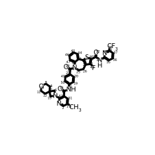 Cc1cnc(N2CC3(CCOCC3)C2)c(C(=O)Nc2ccc(C(=O)N3CCc4c(sc(C(=O)Nc5cccc(C(F)(F)F)n5)c4F)-c4ccccc43)cc2)c1